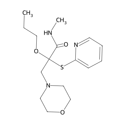 CCCOC(CN1CCOCC1)(Sc1ccccn1)C(=O)NC